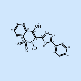 CCN1C(c2nnc(-c3ccccc3)o2)=C(O)c2ccccc2S1(=O)=O